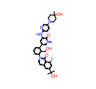 Cn1cc(-c2cccc(-n3ccc4cc(C(C)(C)O)cc(F)c4c3=O)c2CO)cc(Nc2ccc(N3CCC(C)(O)CC3)cn2)c1=O